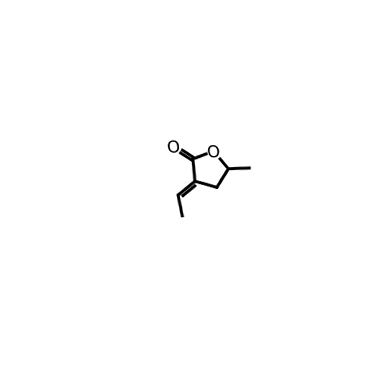 C/C=C1\CC(C)OC1=O